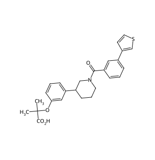 CC(C)(Oc1cccc(C2CCCN(C(=O)c3cccc(-c4ccsc4)c3)C2)c1)C(=O)O